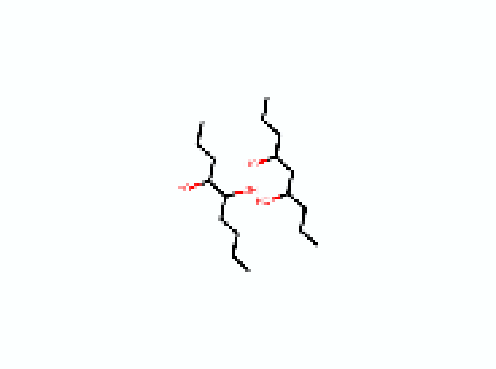 CCCC(O)CC(O)CCC.CCCCC(O)C(O)CCC